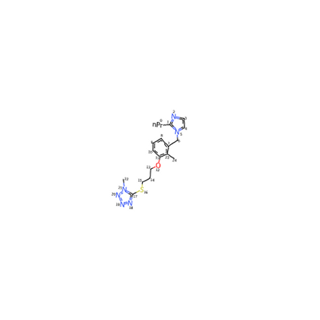 CCCc1nccn1Cc1cccc(OCCCSc2nnnn2C)c1C